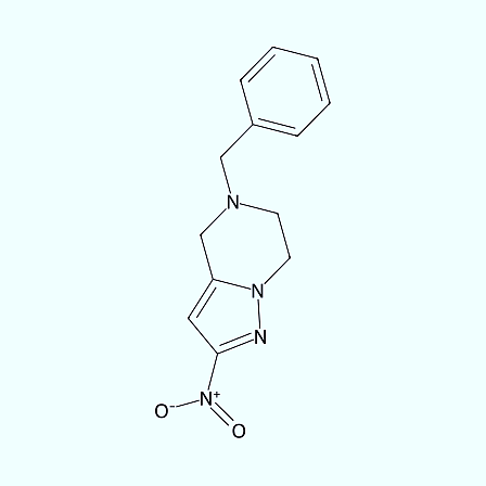 O=[N+]([O-])c1cc2n(n1)CCN(Cc1ccccc1)C2